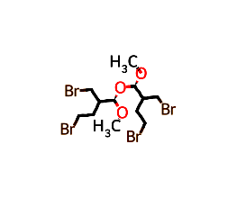 CO[C@@H](O[C@H](OC)C(CBr)CCBr)C(CBr)CCBr